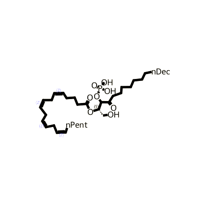 CCCCC/C=C\C/C=C\C/C=C\C/C=C\CCCC(=O)O[C@@H](CO)C(OP(=O)(O)O)C(=O)CCCCCCCCCCCCCCCCC